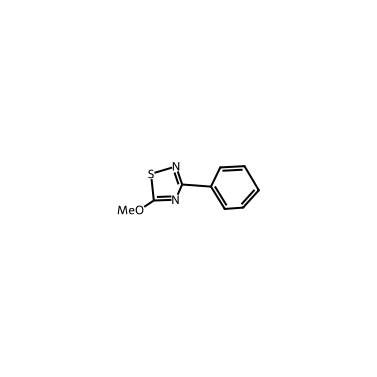 COc1nc(-c2ccccc2)ns1